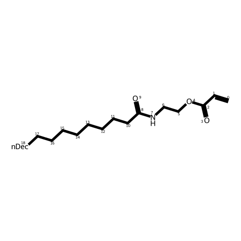 C=CC(=O)OCCNC(=O)CCCCCCCCCCCCCCCCCC